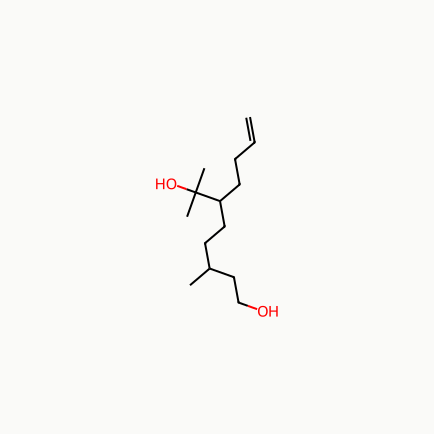 C=CCCC(CCC(C)CCO)C(C)(C)O